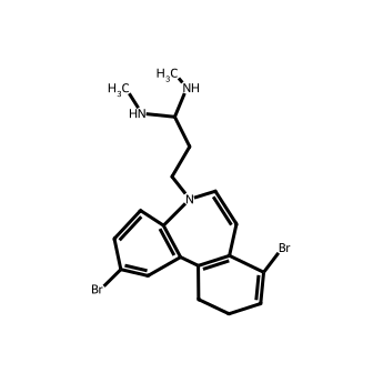 CNC(CCN1C=CC2=C(CCC=C2Br)c2cc(Br)ccc21)NC